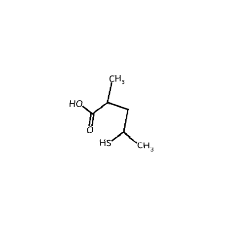 CC(S)CC(C)C(=O)O